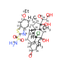 CCOc1ccc2nc(S(N)(=O)=O)sc2c1.C[C@H]1C[C@H]2[C@@H]3CCC4=CC(=O)C=C[C@]4(C)[C@@]3(Cl)[C@@H](O)C[C@]2(C)[C@@]1(O)C(=O)CO